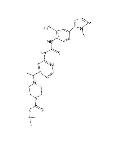 CC(c1ccnc(NC(=S)Nc2ccc(-c3ccnn3C)cc2N)c1)N1CCN(C(=O)OC(C)(C)C)CC1